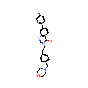 O=c1c2ccc(-c3ccc(Cl)cc3)cc2ncn1CCc1ccc(CN2CCOCC2)cc1